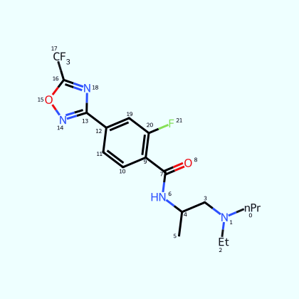 CCCN(CC)CC(C)NC(=O)c1ccc(-c2noc(C(F)(F)F)n2)cc1F